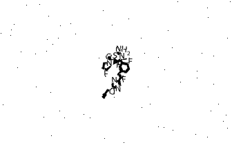 C#CCOc1cnc(/C(F)=C/c2ccc(F)c([C@@]3(C)N=C(N)S[C@@]4(C(=O)N5CC[C@@H](F)C5)C[C@H]43)c2)cn1